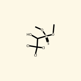 COP(=S)(OC)C(O)C(Cl)(Cl)Cl